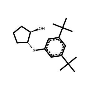 CC(C)(C)c1cc(S[C@@H]2CCC[C@H]2O)cc(C(C)(C)C)c1